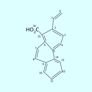 C=Cc1ccc2c(ccc3ccccc32)c1C(=O)O